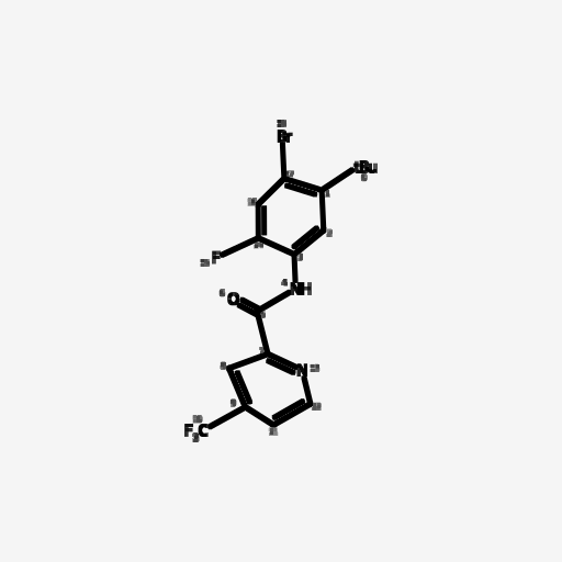 CC(C)(C)c1cc(NC(=O)c2cc(C(F)(F)F)ccn2)c(F)cc1Br